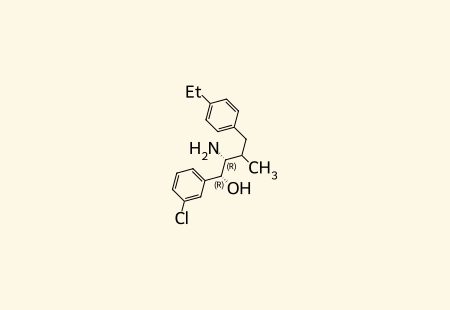 CCc1ccc(CC(C)[C@@H](N)[C@H](O)c2cccc(Cl)c2)cc1